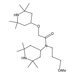 COCCCN(C(=O)COC1CC(C)(C)NC(C)(C)C1)C1CC(C)(C)NC(C)(C)C1